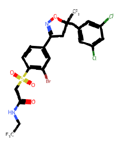 O=C(CS(=O)(=O)c1ccc(C2=NOC(c3cc(Cl)cc(Cl)c3)(C(F)(F)F)C2)cc1Br)NCC(F)(F)F